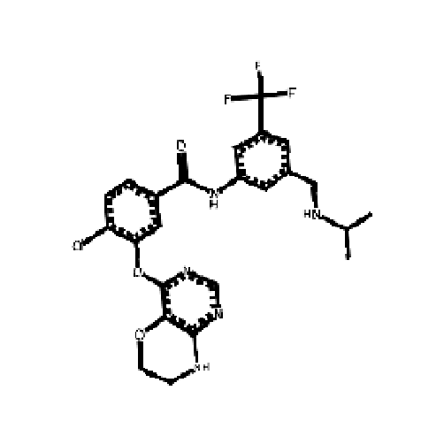 CC(C)NCc1cc(NC(=O)c2ccc(Cl)c(Oc3ncnc4c3OCCN4)c2)cc(C(F)(F)F)c1